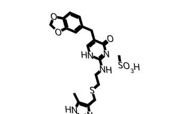 CS(=O)(=O)O.Cc1[nH]cnc1CSCCNc1nc(=O)c(Cc2ccc3c(c2)OCO3)c[nH]1